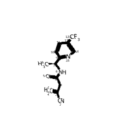 C=C(C#N)CC(=O)N[C@@H](C)c1ccc(C(F)(F)F)cn1